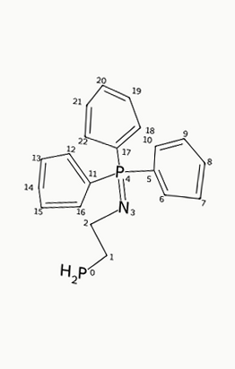 PCCN=P(c1ccccc1)(c1ccccc1)c1ccccc1